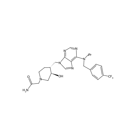 CC(C)N(Cc1ccc(C(F)(F)F)cc1)c1ncnc2c1ncn2C[C@H]1CCN(CC(N)=O)C[C@@H]1O